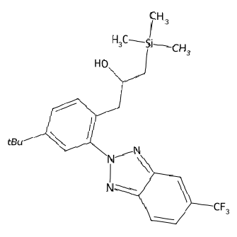 CC(C)(C)c1ccc(CC(O)C[Si](C)(C)C)c(-n2nc3ccc(C(F)(F)F)cc3n2)c1